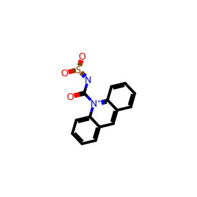 O=C(N=S(=O)=O)[n+]1c2ccccc2cc2ccccc21